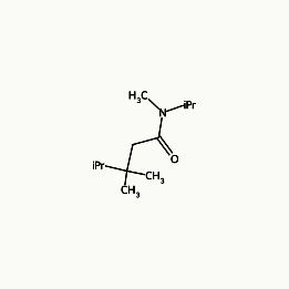 CC(C)N(C)C(=O)CC(C)(C)C(C)C